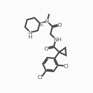 CN(C(=O)CNC(=O)C1(c2ccc(Cl)cc2Cl)CC1)[C@@H]1CCCNC1